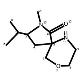 CC(C)C1CC2(COCCN2)C(=O)N1C